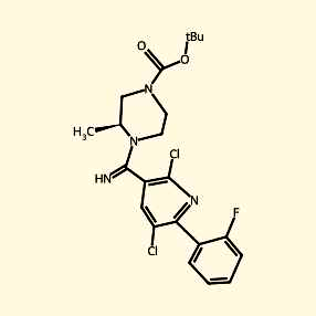 C[C@H]1CN(C(=O)OC(C)(C)C)CCN1C(=N)c1cc(Cl)c(-c2ccccc2F)nc1Cl